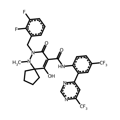 CN1N(Cc2cccc(F)c2F)C(=O)C(C(=O)Nc2ccc(C(F)(F)F)cc2-c2cc(C(F)(F)F)ncn2)=C(O)C12CCCC2